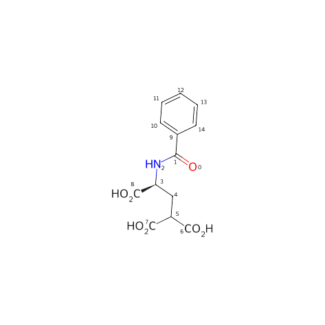 O=C(N[C@@H](CC(C(=O)O)C(=O)O)C(=O)O)c1ccccc1